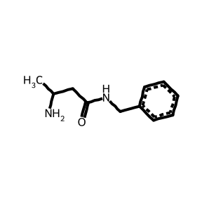 CC(N)CC(=O)NCc1ccccc1